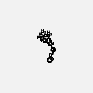 C[C@H]1Cn2nc(C34CCC(COC5CCCCO5)(C3)C4)cc2-c2cnc([C@@](C)(O)C(F)(F)F)n21